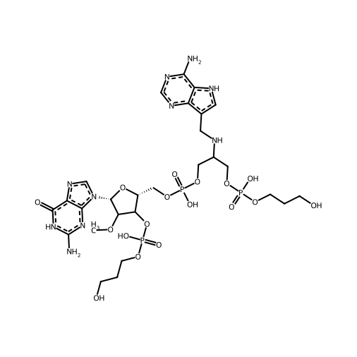 COC1C(OP(=O)(O)OCCCO)[C@@H](COP(=O)(O)OCC(COP(=O)(O)OCCCO)NCc2c[nH]c3c(N)ncnc23)O[C@H]1n1cnc2c(=O)[nH]c(N)nc21